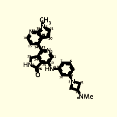 CNC1CN(c2cccc(Nc3cnc(-c4ccnc5c4ccn5C)c4c3C(=O)NC4)c2)C1